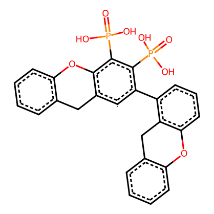 O=P(O)(O)c1c(-c2cccc3c2Cc2ccccc2O3)[c]c2c(c1P(=O)(O)O)Oc1ccccc1C2